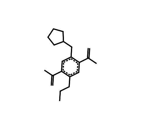 C=C(C)c1cc(CC2CCCC2)c(C(=C)C)cc1CCC